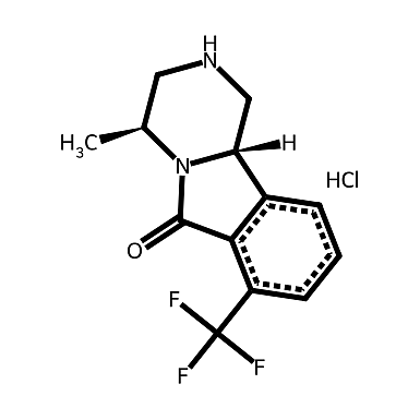 C[C@H]1CNC[C@@H]2c3cccc(C(F)(F)F)c3C(=O)N21.Cl